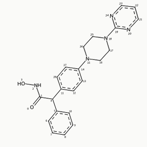 O=C(NO)C(c1ccccc1)c1ccc(N2CCN(c3ncccn3)CC2)cc1